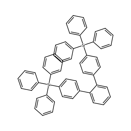 c1ccc([Si](c2ccccc2)(c2ccccc2)c2ccc(-c3ccccc3-c3ccc([Si](c4ccccc4)(c4ccccc4)c4ccccc4)cc3)cc2)cc1